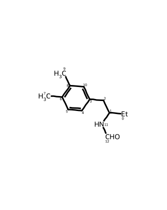 CCC(Cc1ccc(C)c(C)c1)NC=O